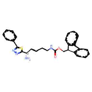 N[C@@H](CCCCNC(=O)OCC1c2ccccc2-c2ccccc21)c1nnc(-c2ccccc2)s1